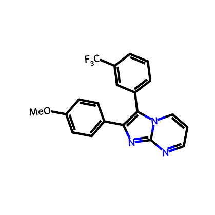 COc1ccc(-c2nc3ncccn3c2-c2cccc(C(F)(F)F)c2)cc1